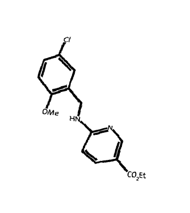 CCOC(=O)c1ccc(NCc2cc(Cl)ccc2OC)nc1